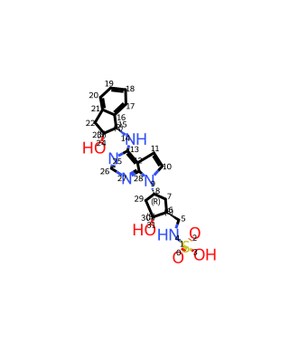 O=S(=O)(O)NC[C@@H]1C[C@@H](n2ccc3c(N[C@@H]4c5ccccc5C[C@@H]4O)ncnc32)C[C@@H]1O